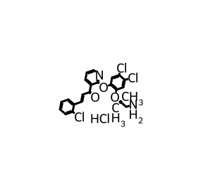 CC(C)(CN)Oc1cc(Cl)c(Cl)cc1Oc1ncccc1C(=O)C=Cc1ccccc1Cl.Cl